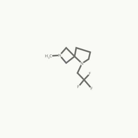 CN1CC2(CCCN2CC(F)(F)F)C1